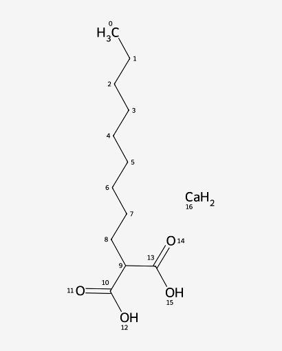 CCCCCCCCCC(C(=O)O)C(=O)O.[CaH2]